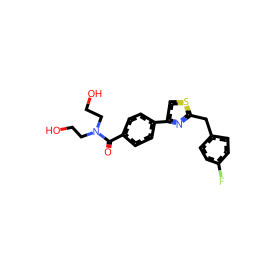 O=C(c1ccc(-c2csc(Cc3ccc(F)cc3)n2)cc1)N(CCO)CCO